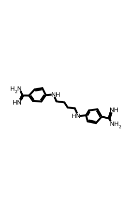 N=C(N)c1ccc(NCCCCNc2ccc(C(=N)N)cc2)cc1